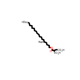 CCCCCCCCCCCCCCCCCCCCCCCCCCCCOC(=O)C(CC(=O)O)S(=O)(=O)O.[NaH]